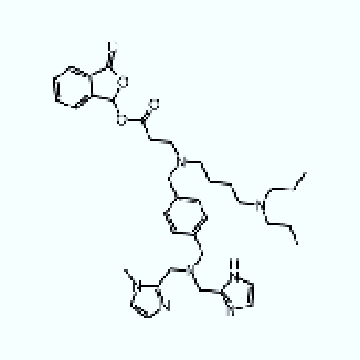 CCCN(CCC)CCCCN(CCC(=O)OC1OC(=O)c2ccccc21)Cc1ccc(CN(Cc2ncc[nH]2)Cc2nccn2C)cc1